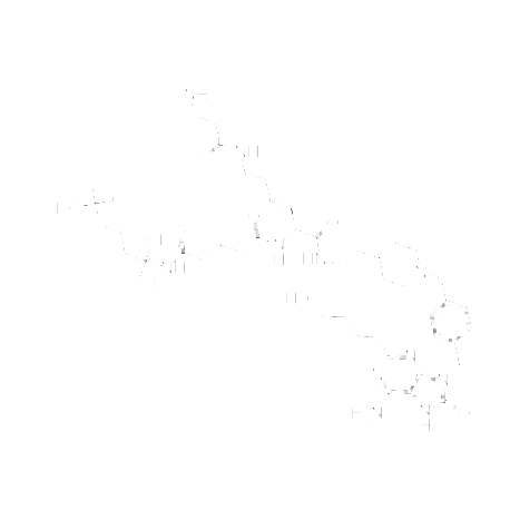 CCCCOc1nc(N)c2[nH]c(=O)n(Cc3ccc(CN4CCC(CCNC(=O)[C@H](CCCCNC(=O)CON)NC(=O)CCCC(=O)NC(C)(C)CCOC(C)(C)C)CC4)cc3)c2n1